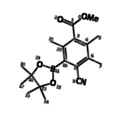 COC(=O)c1c(C)c(C)c(C#N)c(B2OC(C)(C)C(C)(C)O2)c1C